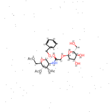 CC(=O)OC[C@H]1O[C@H](OCc2ccccc2)[C@@H](NC(=O)CO[C@@H]2[CH][C@@H](O)[C@H](O)[C@@H](CO)O2)[C@@H](OC(C)=O)[C@@H]1OC(C)=O